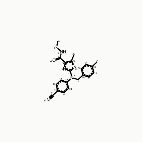 CSNC(=O)c1nc(N(Cc2ccc(C)cc2)c2ccc(C#N)cc2)sc1C